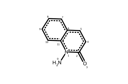 Nn1c(=O)ccc2ccccc21